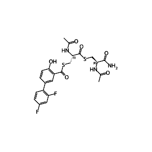 CC(=O)N[C@@H](CSC(=O)[C@H](CSC(=O)c1cc(-c2ccc(F)cc2F)ccc1O)NC(C)=O)C(N)=O